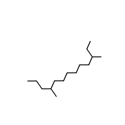 CCCC(C)CCCC[CH]CC(C)CC